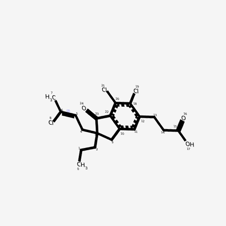 CCCC1(C/C=C(/C)Cl)Cc2cc(CCC(=O)O)c(Cl)c(Cl)c2C1=O